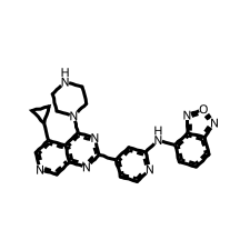 c1cc(Nc2cc(-c3nc(N4CCNCC4)c4c(C5CC5)cncc4n3)ccn2)c2nonc2c1